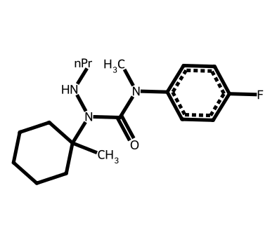 CCCNN(C(=O)N(C)c1ccc(F)cc1)C1(C)CCCCC1